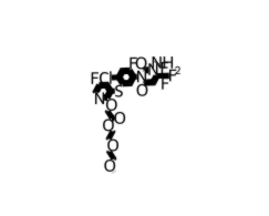 COCCOCCOC(=O)COc1ncc(F)cc1Sc1cc(-n2c(=O)cc(C(F)(F)F)n(N)c2=O)c(F)cc1Cl